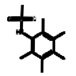 Cc1c(C)c(C)c(NS(C)(=O)=O)c(C)c1C